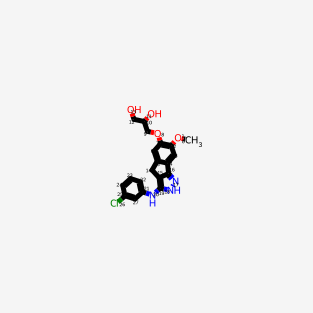 COc1cc2c(cc1OCC(O)CO)Cc1c-2n[nH]c1Nc1cccc(Cl)c1